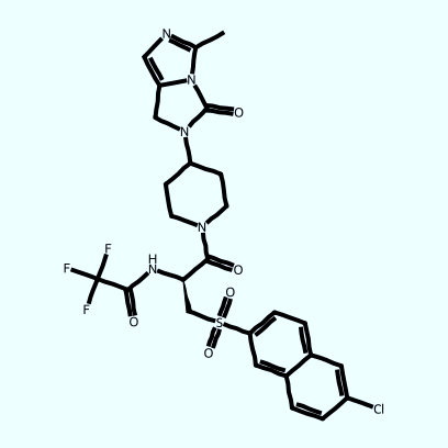 Cc1ncc2n1C(=O)N(C1CCN(C(=O)[C@@H](CS(=O)(=O)c3ccc4cc(Cl)ccc4c3)NC(=O)C(F)(F)F)CC1)C2